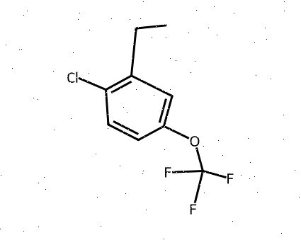 CCc1cc(OC(F)(F)F)ccc1Cl